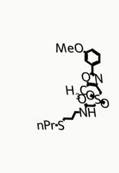 CCCSCCCNC(=O)CS(=O)(=O)Cc1nc(-c2cccc(OC)c2)oc1C